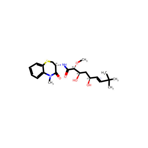 CO[C@@H](C(=O)N[C@H]1CSc2ccccc2N(C)C1=O)[C@H](O)C[C@H](O)/C=C/C(C)(C)C